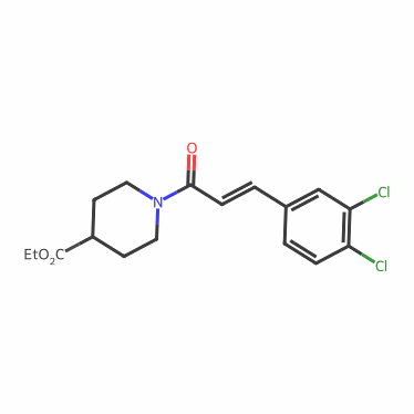 CCOC(=O)C1CCN(C(=O)C=Cc2ccc(Cl)c(Cl)c2)CC1